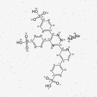 O=S(=O)(O)c1ccc(-c2ccnc(-c3nnc(-c4ccc(S(=O)(=O)O)cc4)c(-c4ccc(S(=O)(=O)O)cc4)n3)c2)cc1.[Na].[Na].[Na]